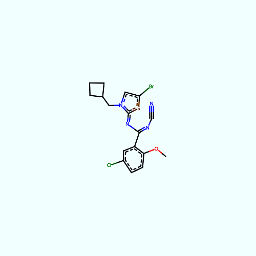 COc1ccc(Cl)cc1C(=NC#N)/N=c1\sc(Br)cn1CC1CCC1